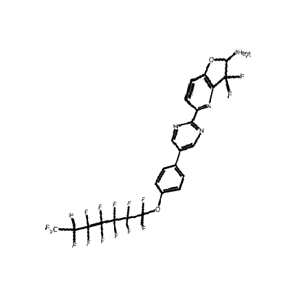 CCCCCCCC1Oc2ccc(-c3ncc(-c4ccc(OC(F)(F)C(F)(F)C(F)(F)C(F)(F)C(F)(F)C(F)(F)C(F)(F)F)cc4)cn3)nc2C1(F)F